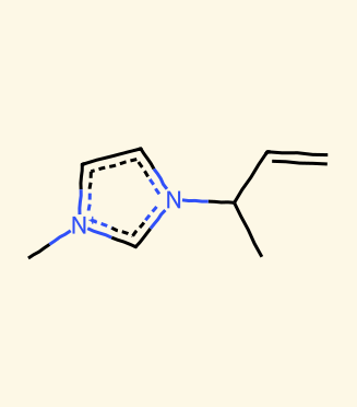 C=CC(C)n1cc[n+](C)c1